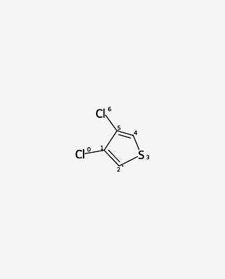 Clc1[c]scc1Cl